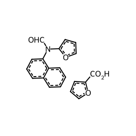 O=C(O)c1ccco1.O=CN(c1ccco1)c1cccc2ccccc12